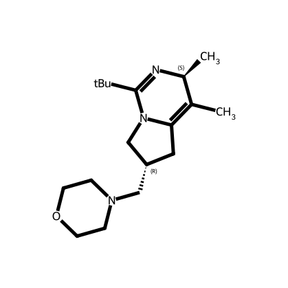 CC1=C2C[C@H](CN3CCOCC3)CN2C(C(C)(C)C)=N[C@H]1C